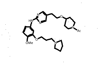 COc1ccc(Nc2ncc(CCOC3CCN(C(C)=O)CC3)cn2)cc1OCCCN1CCCC1